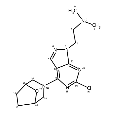 CN(C)CCn1ncc2c(N3CC4CCC(C3)O4)nc(Cl)nc21